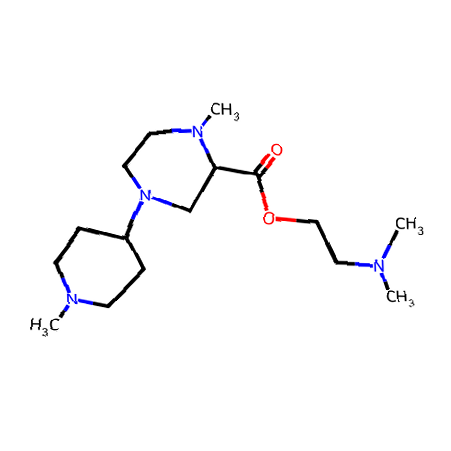 CN(C)CCOC(=O)C1CN(C2CCN(C)CC2)CCN1C